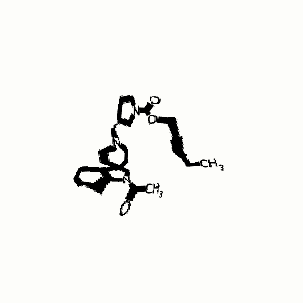 CCC#CCOC(=O)N1CC[C@@H](CN2CCC3(CC2)CN(C(C)=O)c2ccccc23)C1